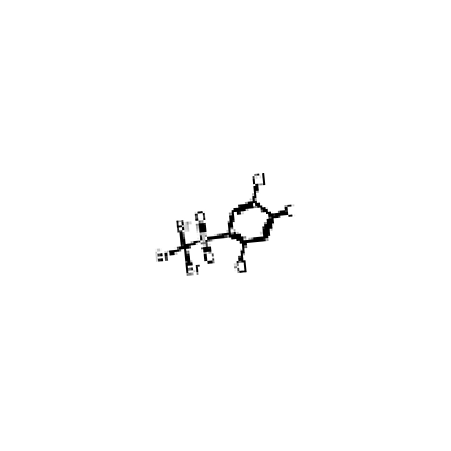 O=S(=O)(c1cc(Cl)c(Cl)cc1Cl)C(Br)(Br)Br